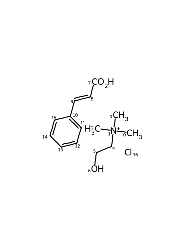 C[N+](C)(C)CCO.O=C(O)/C=C/c1ccccc1.[Cl-]